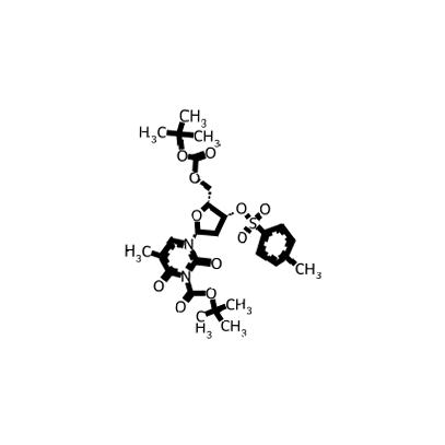 Cc1ccc(S(=O)(=O)O[C@@H]2C[C@H](n3cc(C)c(=O)n(C(=O)OC(C)(C)C)c3=O)O[C@@H]2COC(=O)OC(C)(C)C)cc1